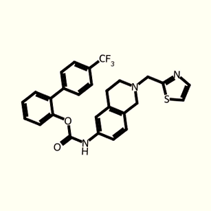 O=C(Nc1ccc2c(c1)CCN(Cc1nccs1)C2)Oc1ccccc1-c1ccc(C(F)(F)F)cc1